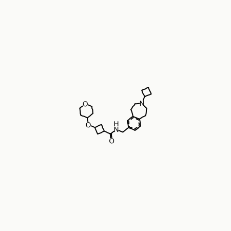 O=C(NCc1ccc2c(c1)CCN(C1CCC1)CC2)C1CC(OC2CCOCC2)C1